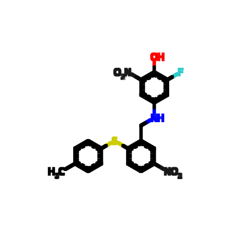 Cc1ccc(Sc2ccc([N+](=O)[O-])cc2CNc2cc(F)c(O)c([N+](=O)[O-])c2)cc1